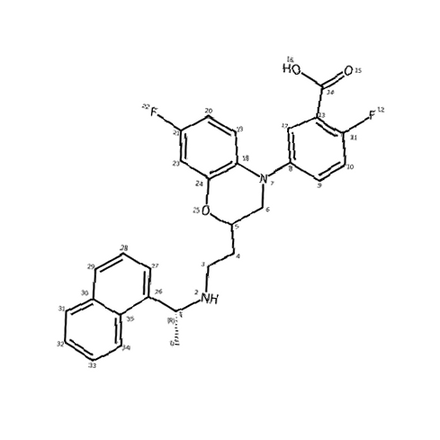 C[C@@H](NCCC1CN(c2ccc(F)c(C(=O)O)c2)c2ccc(F)cc2O1)c1cccc2ccccc12